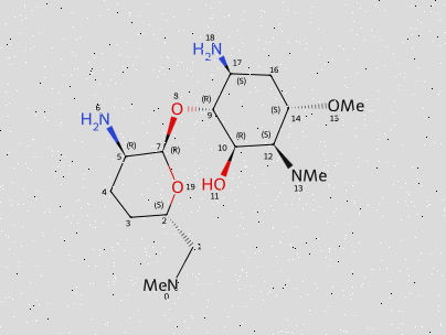 CNC[C@@H]1CC[C@@H](N)[C@@H](O[C@H]2[C@H](O)[C@H](NC)[C@@H](OC)C[C@@H]2N)O1